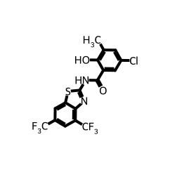 Cc1cc(Cl)cc(C(=O)Nc2nc3c(C(F)(F)F)cc(C(F)(F)F)cc3s2)c1O